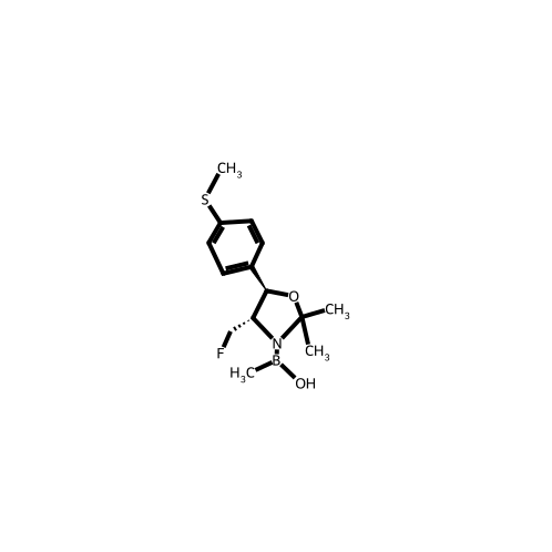 CSc1ccc([C@H]2OC(C)(C)N(B(C)O)[C@@H]2CF)cc1